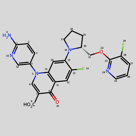 Nc1ccc(-n2cc(C(=O)O)c(=O)c3cc(F)c(N4CCC[C@@H]4COc4ncccc4F)cc32)cn1